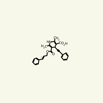 CC1=C(C(=O)O)C(C#Cc2ccccc2)C(C(=O)OC/C=C/c2ccccc2)=C(C)N1